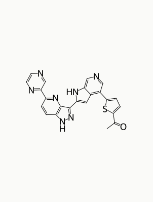 CC(=O)c1ccc(-c2cncc3[nH]c(-c4n[nH]c5ccc(-c6cnccn6)nc45)cc23)s1